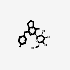 Cc1ccc(Cc2cc([C@@H]3O[C@H](CO)C(O)[C@H](O)[C@@H]3O)c(C)c3c2CCC3)cc1